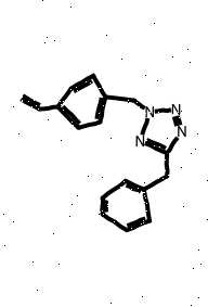 C=Cc1ccc(Cn2nnc(Cc3ccccc3)n2)cc1